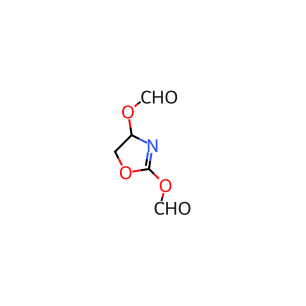 O=COC1=NC(OC=O)CO1